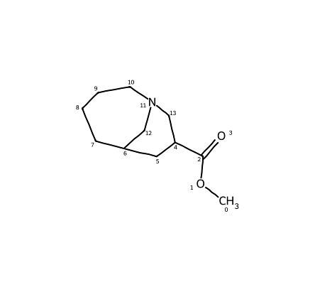 COC(=O)C1CC2CCCCN(C2)C1